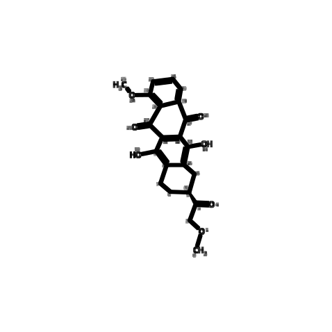 COCC(=O)[C@H]1CCc2c(O)c3c(c(O)c2C1)C(=O)c1cccc(OC)c1C3=O